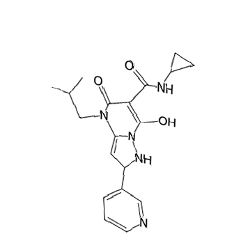 CC(C)CN1C(=O)C(C(=O)NC2CC2)=C(O)N2NC(c3cccnc3)C=C12